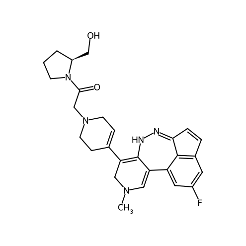 CN1C=C2C(=C(C3=CCN(CC(=O)N4CCC[C@H]4CO)CC3)C1)NN=C1C=Cc3cc(F)cc2c31